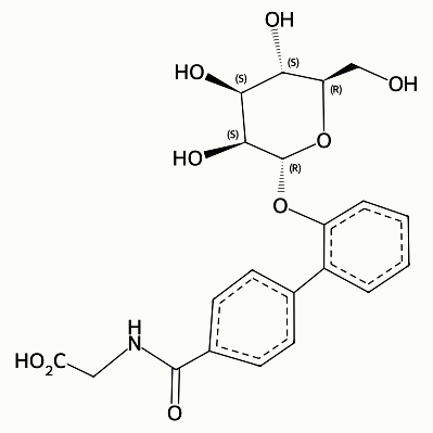 O=C(O)CNC(=O)c1ccc(-c2ccccc2O[C@H]2O[C@H](CO)[C@@H](O)[C@H](O)[C@@H]2O)cc1